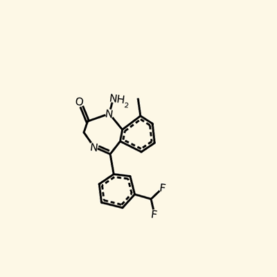 Cc1cccc2c1N(N)C(=O)CN=C2c1cccc(C(F)F)c1